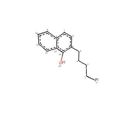 CC(C)CCCCc1ccc2ccccc2c1O